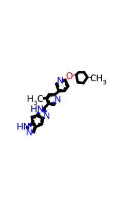 Cc1cc(-c2ccc(O[C@H]3CC[C@@H](C)CC3)nc2)ncc1-c1nc2cc3cn[nH]c3cc2[nH]1